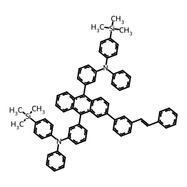 C[Si](C)(C)c1ccc(N(c2ccccc2)c2cccc(-c3c4ccccc4c(-c4cccc(N(c5ccccc5)c5ccc([Si](C)(C)C)cc5)c4)c4cc(-c5cccc(/C=C/c6ccccc6)c5)ccc34)c2)cc1